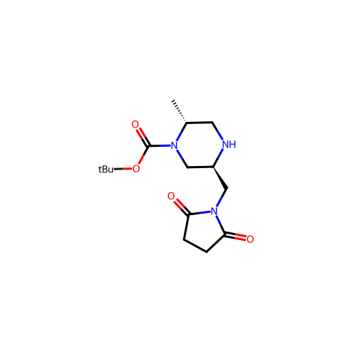 C[C@@H]1CN[C@@H](CN2C(=O)CCC2=O)CN1C(=O)OC(C)(C)C